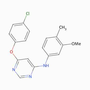 COc1cc(Nc2cc(Oc3ccc(Cl)cc3)ncn2)ccc1C